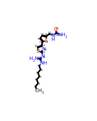 CCCCCCCCN/C(N)=N/c1nc(-c2ccc(CNC(N)=O)s2)cs1